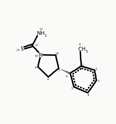 Cc1ccccc1[C@@H]1CCN(C(N)=S)C1